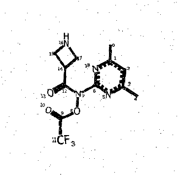 Cc1cc(C)nc(N(OC(=O)C(F)(F)F)C(=O)C2CNC2)n1